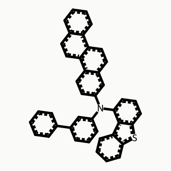 c1ccc(-c2cccc(N(c3ccc4c(ccc5c6ccccc6ccc45)c3)c3cccc4sc5ccccc5c34)c2)cc1